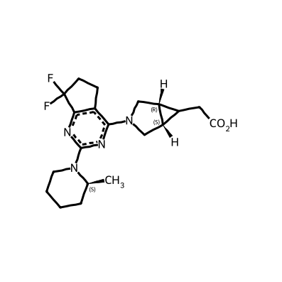 C[C@H]1CCCCN1c1nc(N2C[C@@H]3C(CC(=O)O)[C@@H]3C2)c2c(n1)C(F)(F)CC2